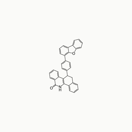 O=c1[nH]c2c(c3ccccc13)C(c1ccc(-c3cccc4c3oc3ccccc34)cc1)Cc1ccccc1-2